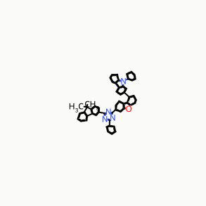 CC1(C)c2ccccc2-c2cc(-c3nc(-c4ccccc4)nc(-c4ccc5c(c4)oc4cccc(-c6ccc7c8ccccc8n(-c8ccccc8)c7c6)c45)n3)ccc21